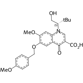 COc1ccc(COc2cc3c(=O)c(C(=O)O)cn([C@H](CO)C(C)(C)C)c3cc2OC)cc1